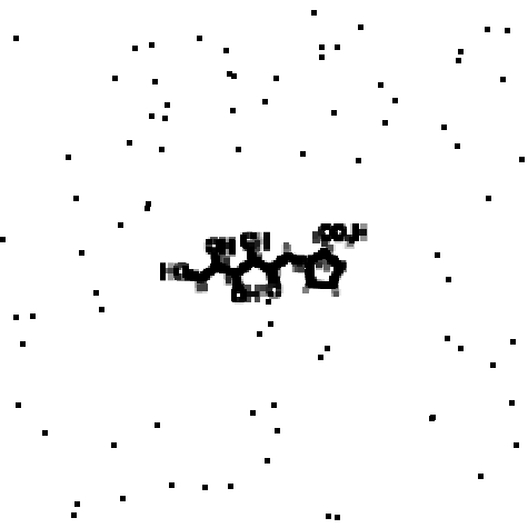 O=C(CN1CCC[C@H]1C(=O)O)C(O)C(O)C(O)CO